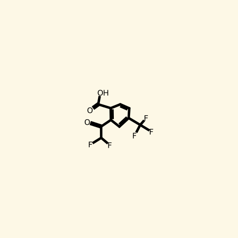 O=C(O)c1ccc(C(F)(F)F)cc1C(=O)C(F)F